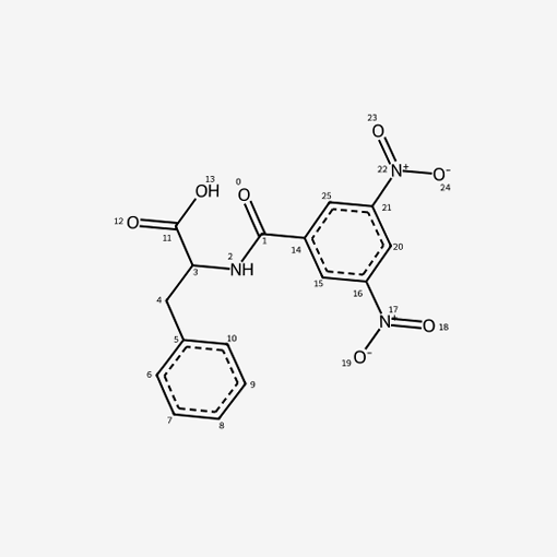 O=C(NC(Cc1ccccc1)C(=O)O)c1cc([N+](=O)[O-])cc([N+](=O)[O-])c1